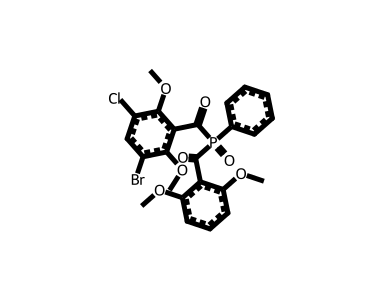 COc1cccc(OC)c1C(=O)P(=O)(C(=O)c1c(OC)c(Cl)cc(Br)c1OC)c1ccccc1